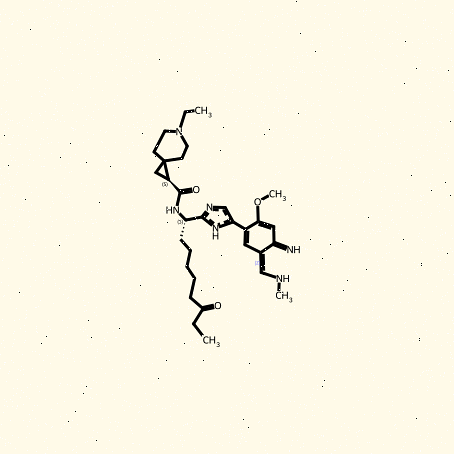 CCC(=O)CCCCC[C@H](NC(=O)[C@H]1CC12CCN(CC)CC2)c1ncc(C2=C/C(=C/NC)C(=N)C=C2OC)[nH]1